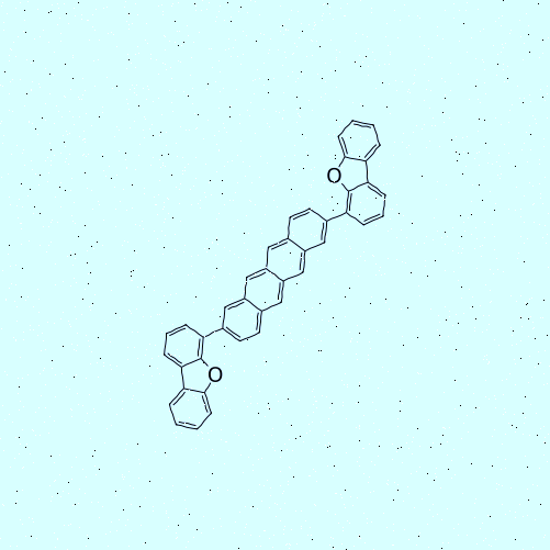 c1ccc2c(c1)oc1c(-c3ccc4cc5cc6cc(-c7cccc8c7oc7ccccc78)ccc6cc5cc4c3)cccc12